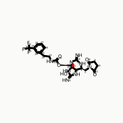 N=C1NC2[C@H](CN3C(=O)CCC3=O)NC(=N)N3C[C@H](OC(=O)NCCc4cccc(C(F)(F)F)c4)[C@@H](O)C23N1